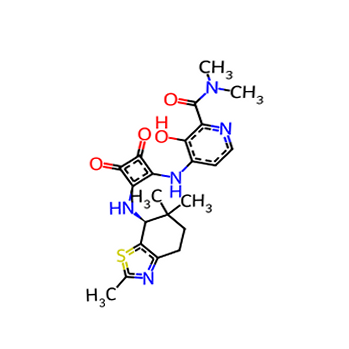 Cc1nc2c(s1)[C@@H](Nc1c(Nc3ccnc(C(=O)N(C)C)c3O)c(=O)c1=O)C(C)(C)CC2